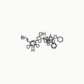 C[C@H](NP(=O)(OCC1OC(n2cc(/C=C/Br)c(=O)[nH]c2=O)CC1O)Oc1ccccc1)C(=O)OC1CCCCC1